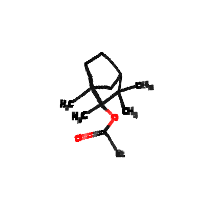 CCC(=O)OC1(C)C2(C)CCC(C2)C1(C)C